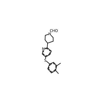 Cc1ccc(Sc2ccc(C3CCN(C=O)CC3)nc2)cc1C